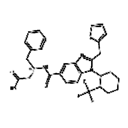 O=C(O)C[C@H](Cc1ccccc1)NC(=O)c1ccc2c(c1)nc(Cc1cccs1)n2C1CCCCC1C(F)(F)F